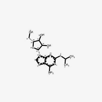 CC(C)Sc1nc(N)c2ncn([C@@H]3O[C@H](CO)C(O)C3O)c2n1